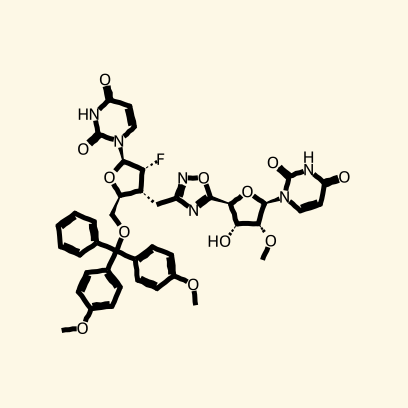 COc1ccc(C(OC[C@H]2O[C@@H](n3ccc(=O)[nH]c3=O)[C@H](F)[C@@H]2Cc2noc([C@H]3O[C@@H](n4ccc(=O)[nH]c4=O)[C@H](OC)[C@@H]3O)n2)(c2ccccc2)c2ccc(OC)cc2)cc1